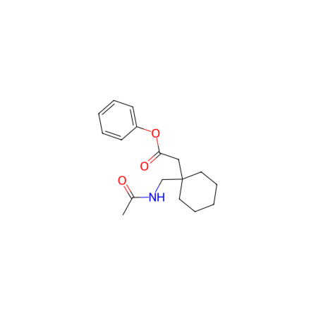 CC(=O)NCC1(CC(=O)Oc2ccccc2)CCCCC1